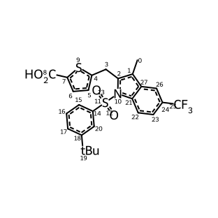 Cc1c(Cc2ccc(C(=O)O)s2)n(S(=O)(=O)c2cccc(C(C)(C)C)c2)c2ccc(C(F)(F)F)cc12